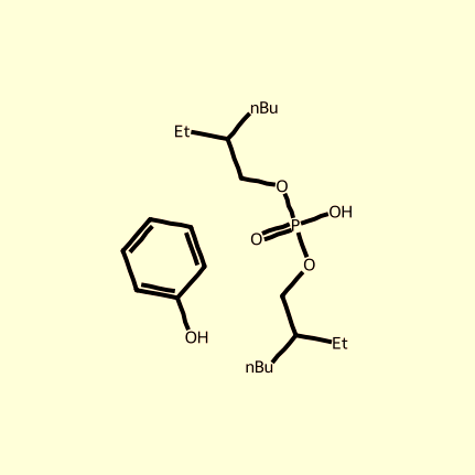 CCCCC(CC)COP(=O)(O)OCC(CC)CCCC.Oc1ccccc1